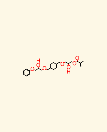 C=C(C)C(=O)OCC(O)COCC1CCC(COCC(O)COc2ccccc2)CC1